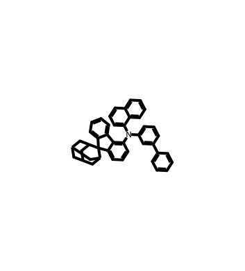 c1ccc(-c2cccc(N(c3cccc4c3-c3ccccc3C43C4CC5CC(C4)CC3C5)c3cccc4ccccc34)c2)cc1